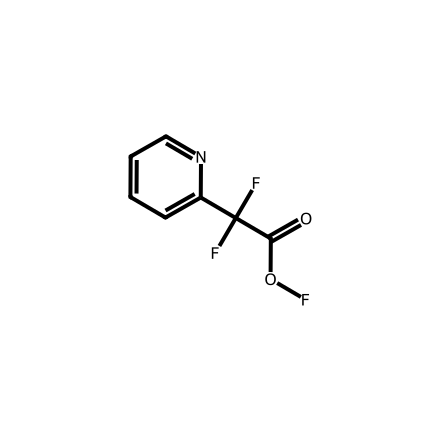 O=C(OF)C(F)(F)c1ccccn1